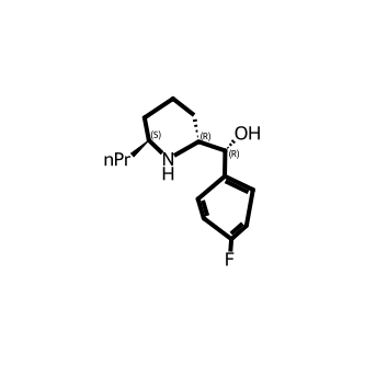 CCC[C@H]1CCC[C@H]([C@H](O)c2ccc(F)cc2)N1